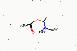 CCCC(=O)OC(C)N(CCC)CCC